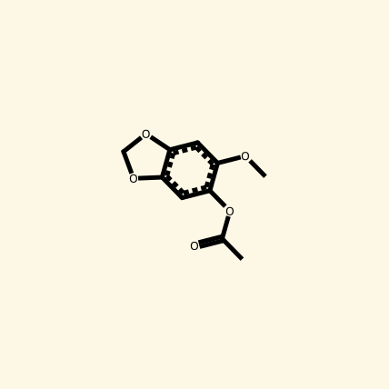 COc1cc2c(cc1OC(C)=O)OCO2